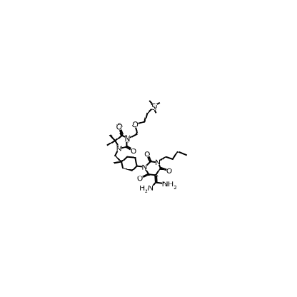 CCCCN1C(=O)C(=C(N)N)C(=O)N(C2CCC(C)(CN3C(=O)N(COCC[Si](C)(C)C)C(=O)C3(C)C)CC2)C1=O